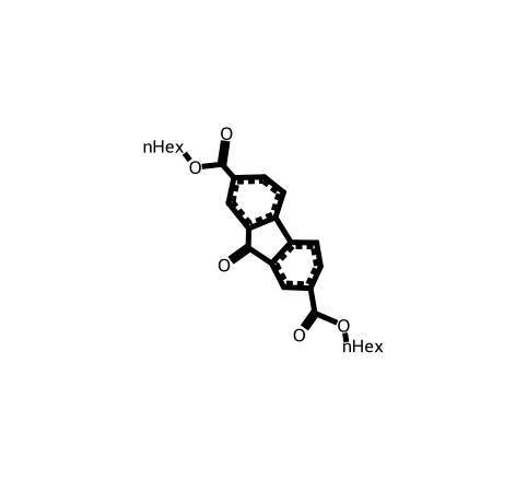 CCCCCCOC(=O)c1ccc2c(c1)C(=O)c1cc(C(=O)OCCCCCC)ccc1-2